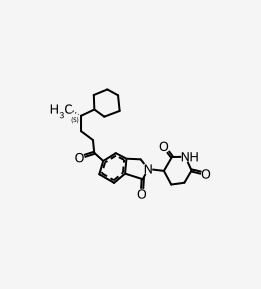 C[C@@H](CCC(=O)c1ccc2c(c1)CN(C1CCC(=O)NC1=O)C2=O)C1CCCCC1